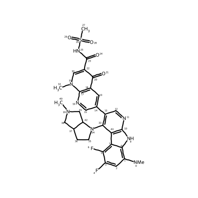 CNc1cc(F)c(F)c2c1[nH]c1ncc(-c3cnc4c(c3)c(=O)c(C(=O)NS(C)(=O)=O)cn4C)c(N3CCC4CN(C)CC43)c12